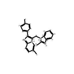 Cc1ccc(-c2nc3ccc(C)cn3c2Cn2c(C)nc3ccccc32)cc1